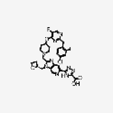 O=C(O)c1nnc(-c2cc3nc(CN4CCC(Oc5nc(Cc6ccc(Cl)cc6F)ncc5F)CC4)n(C[C@@H]4CCO4)c3cn2)[nH]1